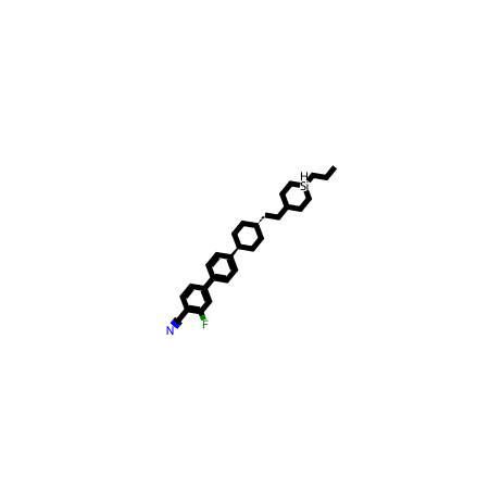 CCC[SiH]1CCC(CC[C@H]2CC[C@H](c3ccc(-c4ccc(C#N)c(F)c4)cc3)CC2)CC1